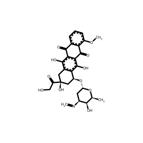 C=N[C@H]1C[C@H](O[C@H]2C[C@](O)(C(=O)CO)Cc3c(O)c4c(c(O)c32)C(=O)c2c(OC)cccc2C4=O)O[C@@H](C)[C@H]1O